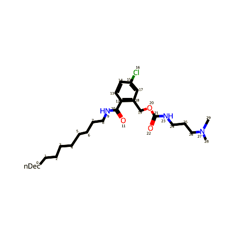 CCCCCCCCCCCCCCCCCCNC(=O)c1ccc(Cl)cc1COC(=O)NCCCN(C)C